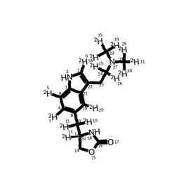 [2H]c1[nH]c2c([2H])c([2H])c(C([2H])([2H])[C@@]3([2H])COC(=O)N3)c([2H])c2c1CC([2H])([2H])N(C([2H])([2H])[2H])C([2H])([2H])[2H]